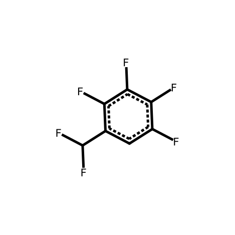 Fc1cc(C(F)F)c(F)c(F)c1F